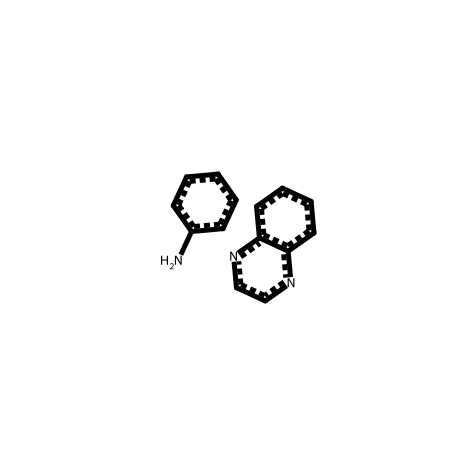 Nc1ccccc1.c1ccc2nccnc2c1